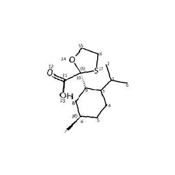 CC(C)C1CC[C@@H](C)CC1[C@]1(C(=O)O)OCCS1